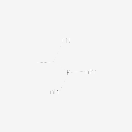 CCCP(CCC)C(C)C#N